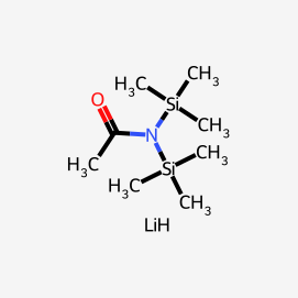 CC(=O)N([Si](C)(C)C)[Si](C)(C)C.[LiH]